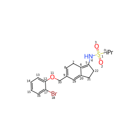 CC(C)S(=O)(=O)NC1=C2CC=C(COc3ccccc3Br)C=C2CC1